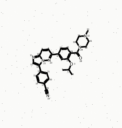 CC(C)Oc1cc(-c2ccc3ncc(-c4ccc(C#N)cc4)n3n2)ccc1C(=O)N1CCN(C)CC1